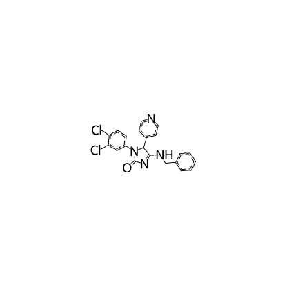 O=C1N=C(NCc2ccccc2)C(c2ccncc2)N1c1ccc(Cl)c(Cl)c1